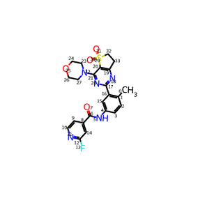 Cc1ccc(NC(=O)c2ccnc(F)c2)cc1-c1nc2c(c(N3CCOCC3)n1)S(=O)(=O)CC2